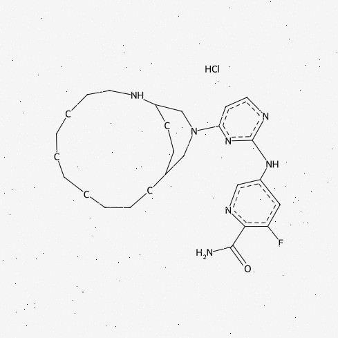 Cl.NC(=O)c1ncc(Nc2nccc(N3CC4CCCCCCCCCCNC(CC4)C3)n2)cc1F